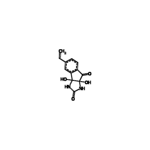 C=Cc1ccc2c(c1)C1(O)NC(=O)NC1(O)C2=O